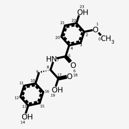 COc1cc(C(=O)N[C@@H](Cc2ccc(O)cc2)C(=O)O)ccc1O